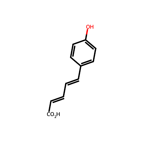 O=C(O)C=CC=Cc1ccc(O)cc1